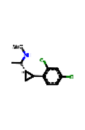 CONC(C)[C@H]1CC1c1ccc(Cl)cc1Cl